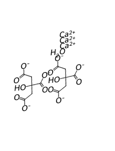 O.O=C([O-])CC(O)(CC(=O)[O-])C(=O)[O-].O=C([O-])CC(O)(CC(=O)[O-])C(=O)[O-].[Ca+2].[Ca+2].[Ca+2]